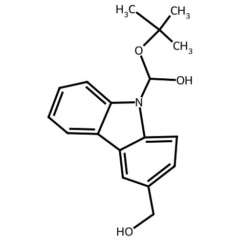 CC(C)(C)OC(O)n1c2ccccc2c2cc(CO)ccc21